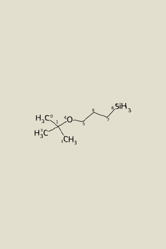 CC(C)(C)OCCC[SiH3]